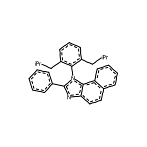 CC(C)Cc1cccc(CC(C)C)c1-n1c(-c2ccccc2)nc2ccc3ccccc3c21